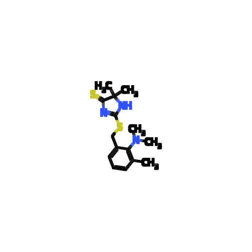 Cc1cccc(CSC2=NC(=S)C(C)(C)N2)c1N(C)C